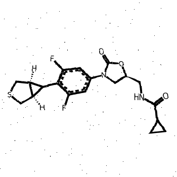 O=C(NC[C@H]1CN(c2cc(F)c(C3[C@H]4CSC[C@@H]34)c(F)c2)C(=O)O1)C1CC1